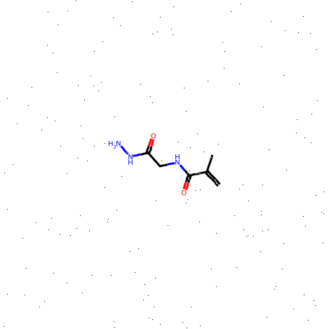 C=C(C)C(=O)NCC(=O)NN